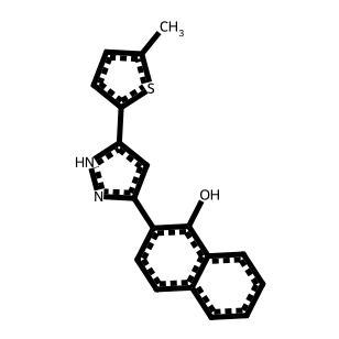 Cc1ccc(-c2cc(-c3ccc4ccccc4c3O)n[nH]2)s1